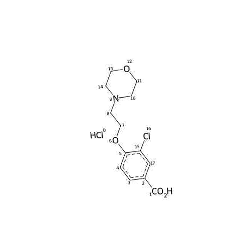 Cl.O=C(O)c1ccc(OCCN2CCOCC2)c(Cl)c1